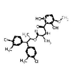 COc1cc[n+](O)c(C(=O)N[C@@H](C)C(=O)O[C@@H](C)C(c2ccc(Cl)c(C)c2)c2ccc(Cl)c(C)c2)c1O